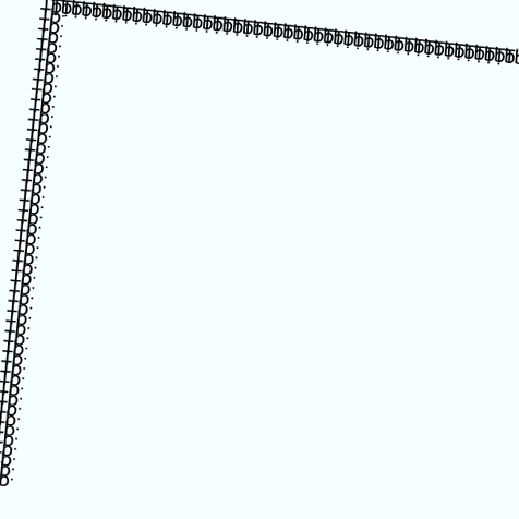 [Tb].[Tb].[Tb].[Tb].[Tb].[Tb].[Tb].[Tb].[Tb].[Tb].[Tb].[Tb].[Tb].[Tb].[Tb].[Tb].[Tb].[Tb].[Tb].[Tb].[Tb].[Tb].[Tb].[Tb].[Tb].[Tb].[Tb].[Tb].[Tb].[Tb].[Tb].[Tb].[Tb].[Tb].[Tb].[Tb].[Tb].[Tb].[Tb].[Tb].[Tb].[Tb].[Tb].[Tb].[Tb].[Tb].[Tb].[Tb].[Tb].[Tb].[Tb].[Tb].[Tb].[Tb].[Tb].[Tb].[Tb].[Tb].[Tb].[Tb].[Tb].[Tb].[Tb].[Tb].[Tb].[Tb].[Tb].[Tb].[Tb].[Tb].[Tb].[Tb].[Tb].[Tb].[Tb].[Tb].[Tb].[Tb].[Tb].[Tb].[Tb].[Tb].[Tb].[Tb].[Tb].[Tb].[Tb].[Tb].[Tb].[Tb].[Tb].[Tb].[Tb].[Tb]